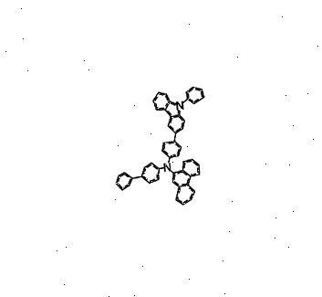 c1ccc(-c2ccc(N(c3ccc(-c4ccc5c(c4)c4ccccc4n5-c4ccccc4)cc3)c3cc4ccccc4c4ccccc34)cc2)cc1